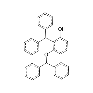 Oc1cccc(OC(c2ccccc2)c2ccccc2)c1C(c1ccccc1)c1ccccc1